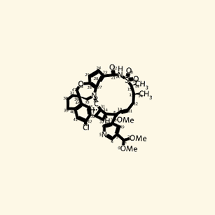 COC(OC)c1cncc([C@@]2(OC)/C=C/C[C@H](C)[C@@H](C)S(=O)(=O)NC(=O)c3ccc4c(c3)N(C[C@@H]3CC[C@H]32)C[C@@]2(CCCc3cc(Cl)ccc32)CO4)c1